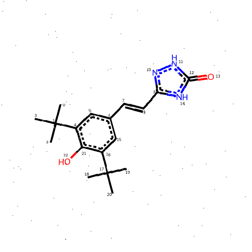 CC(C)(C)c1cc(/C=C/c2n[nH]c(=O)[nH]2)cc(C(C)(C)C)c1O